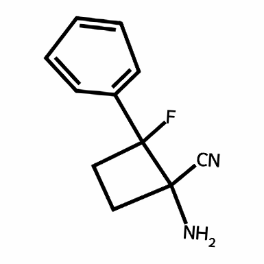 N#CC1(N)CCC1(F)c1ccccc1